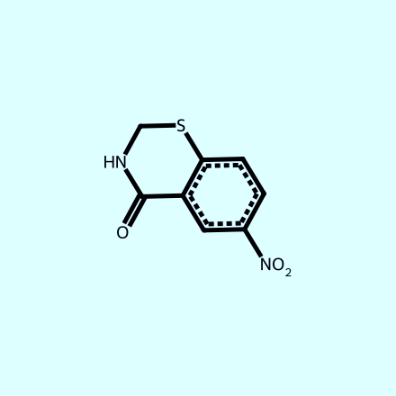 O=C1NCSc2ccc([N+](=O)[O-])cc21